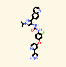 CC(C)n1cc(NC(=O)Nc2ccc(Oc3ccnc(-c4cn[nH]c4)c3)cc2F)c(-c2ccc3ncccc3c2)n1